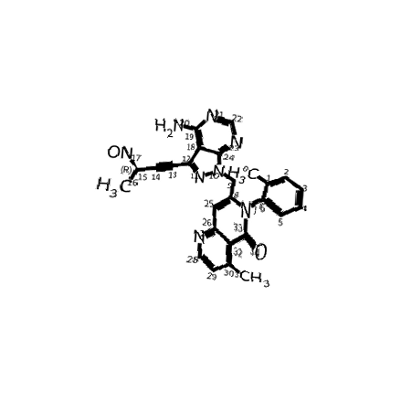 Cc1ccccc1-n1c(Cn2nc(C#C[C@@H](C)N=O)c3c(N)ncnc32)cc2nccc(C)c2c1=O